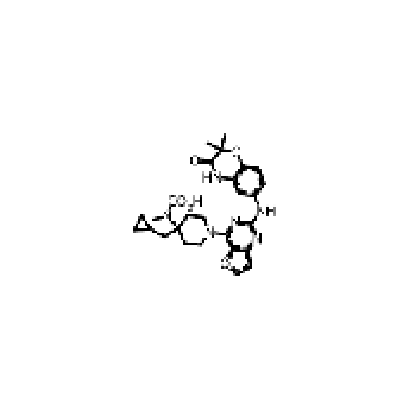 CN(C(=O)O)C1(CC2CC2)CCN(c2nc(Nc3ccc4c(c3)NC(=O)C(C)(C)O4)nc3ccoc23)CC1